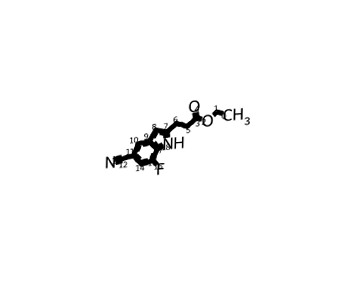 CCOC(=O)CCc1cc2cc(C#N)cc(F)c2[nH]1